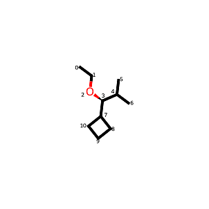 CCO[C@@H](C(C)C)C1CCC1